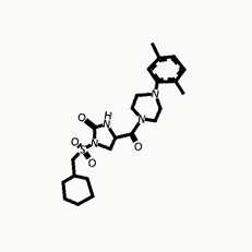 Cc1ccc(C)c(N2CCN(C(=O)C3CN(S(=O)(=O)CC4CCCCC4)C(=O)N3)CC2)c1